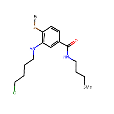 CCSc1ccc(C(=O)NCCCSC)cc1NCCCCCl